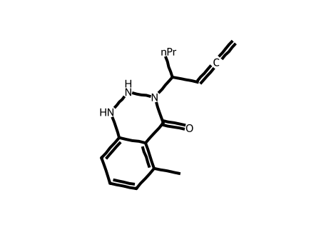 C=C=CC(CCC)N1NNc2cccc(C)c2C1=O